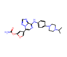 CC(C)N1CCN(c2ccc(Nc3ncc(-c4coc(OC(N)=O)c4)n4ncnc34)cc2)CC1